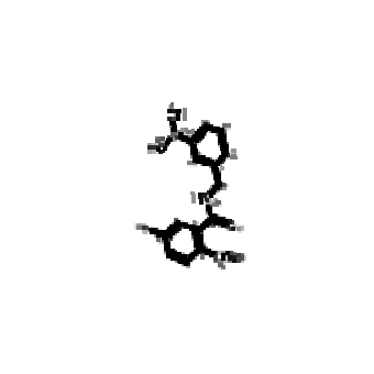 COc1ccc(F)cc1C(=O)NCc1cccc(B(O)O)c1